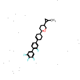 CC1CC1C1CCC(C2CC=C(c3ccc(-c4cc(F)c(F)c(F)c4)c(F)c3)CC2)OC1